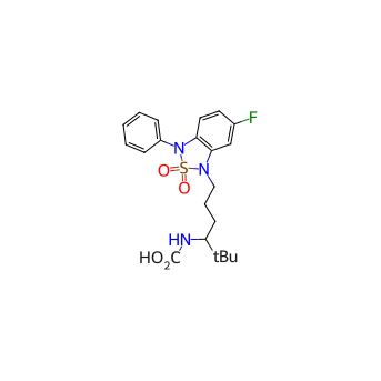 CC(C)(C)C(CCCN1c2cc(F)ccc2N(c2ccccc2)S1(=O)=O)NC(=O)O